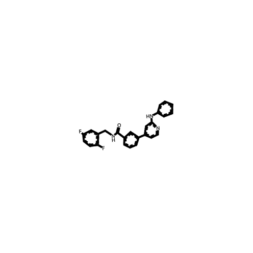 O=C(NCc1cc(F)ccc1F)c1cccc(-c2ccnc(Nc3ccccc3)c2)c1